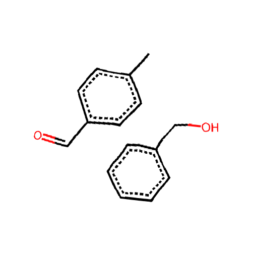 Cc1ccc(C=O)cc1.OCc1ccccc1